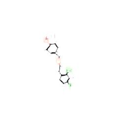 COc1ccc(COCCc2ccc(F)cc2Br)cc1